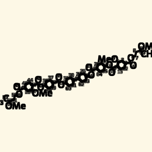 COc1cc(C(=O)OCCC(C)OC)ccc1C(=O)Oc1ccc(C(=O)Oc2ccc(-c3ccc(OC(=O)c4ccc(OC(=O)c5ccc(C(=O)OCCC(C)OC)cc5OC)cc4)cc3)cc2)cc1